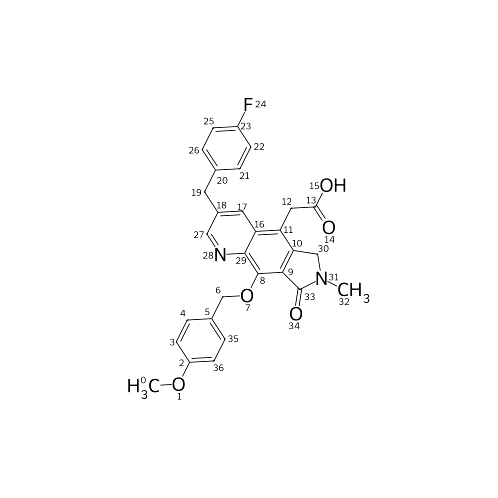 COc1ccc(COc2c3c(c(CC(=O)O)c4cc(Cc5ccc(F)cc5)cnc24)CN(C)C3=O)cc1